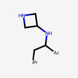 CC(=O)C(CC(C)C)NC1CNC1